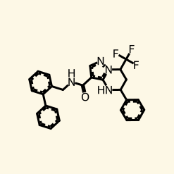 O=C(NCc1ccccc1-c1ccccc1)c1cnn2c1NC(c1ccccc1)CC2C(F)(F)F